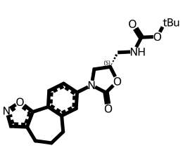 CC(C)(C)OC(=O)NC[C@H]1CN(c2ccc3c(c2)CCCc2cnoc2-3)C(=O)O1